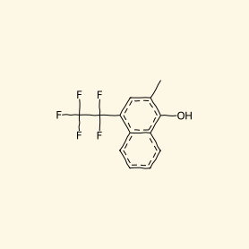 Cc1cc(C(F)(F)C(F)(F)F)c2ccccc2c1O